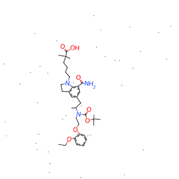 CCOc1ccccc1OCCN(C(=O)OC(C)(C)C)C(C)Cc1cc2c(c(C(N)=O)c1)N(CCCCC(C)(C)C(=O)O)CC2